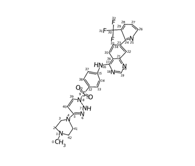 CN1CCN(C2=NNN(S(=O)(=O)c3ccc(Nc4ncnc5cc(-c6ncccc6C(F)(F)F)ccc45)cc3)C=C2)CC1